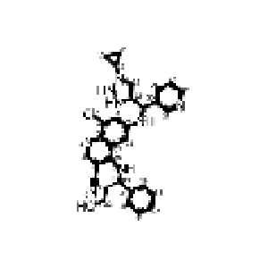 N#Cc1cnc2c(Cl)cc(NC(C3=CN(C4CC4)NN3)c3cccnc3)cc2c1N[C@H](CCO)c1ccccc1